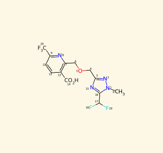 Cn1nc(COCc2nc(C(F)(F)F)ccc2C(=O)O)nc1C(F)F